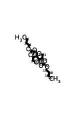 CCCCOC(=O)OC1CO[C@@H]2C(OC(=O)OCCCC)CO[C@H]12